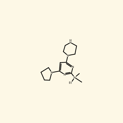 CC[N+](C)(C)c1nc(N2CCCC2)cc(N2CCNCC2)n1